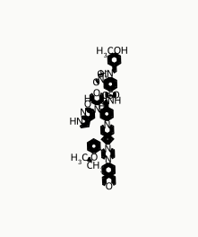 CC(C)Oc1ccccc1[C@H]1CN(C2CCC3(CCOCC3)CC2)CCN1C1CC2(CCN(c3ccc(C(=O)NS(=O)(=O)c4ccc(NCC5CCC(C)(O)CC5)c([N+](=O)[O-])c4)c(N4c5cc6cc[nH]c6nc5O[C@H]5COCC[C@@H]54)c3)CC2)C1